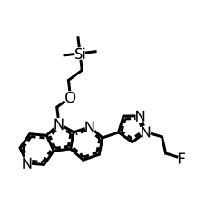 C[Si](C)(C)CCOCn1c2ccncc2c2ccc(-c3cnn(CCF)c3)nc21